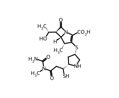 C[C@@H](O)[C@H]1C(=O)N2C(C(=O)O)=C(S[C@@H]3CN[C@H](C(S)CC(=O)N(C)C(N)=O)C3)[C@H](C)[C@H]12